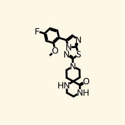 COc1cc(F)ccc1-c1cnc2sc(N3CCC4(CC3)NCCNC4=O)nn12